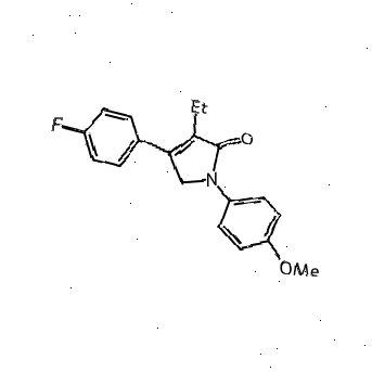 CCC1=C(c2ccc(F)cc2)CN(c2ccc(OC)cc2)C1=O